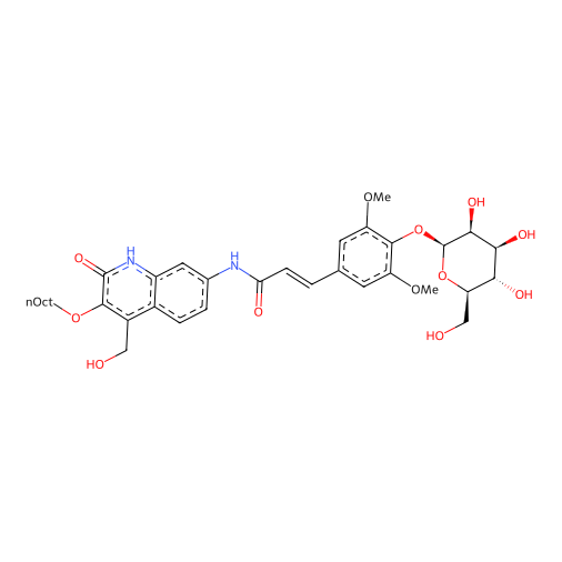 CCCCCCCCOc1c(CO)c2ccc(NC(=O)/C=C/c3cc(OC)c(O[C@@H]4O[C@H](CO)[C@@H](O)[C@H](O)[C@@H]4O)c(OC)c3)cc2[nH]c1=O